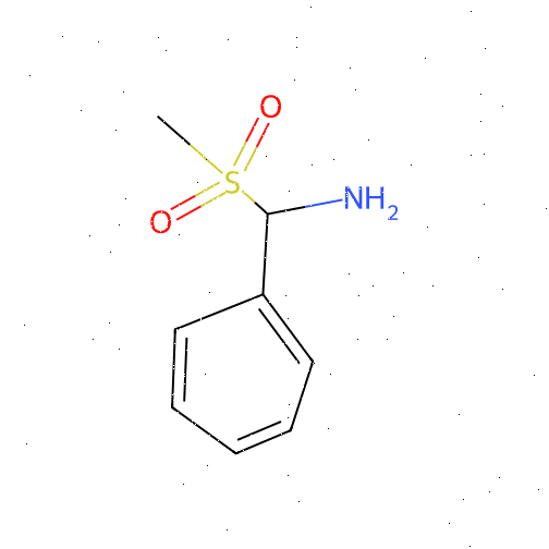 CS(=O)(=O)C(N)c1ccccc1